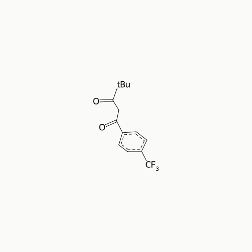 CC(C)(C)C(=O)CC(=O)c1ccc(C(F)(F)F)cc1